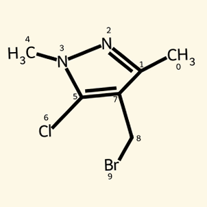 Cc1nn(C)c(Cl)c1CBr